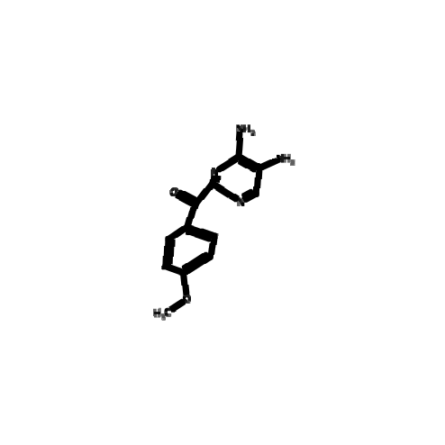 COc1ccc(C(=O)c2ncc(N)c(N)n2)cc1